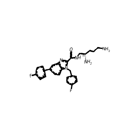 NCCC[C@H](N)CNC(=O)c1nc2cc(-c3ccc(F)cc3)ccc2n1Cc1ccc(F)cc1